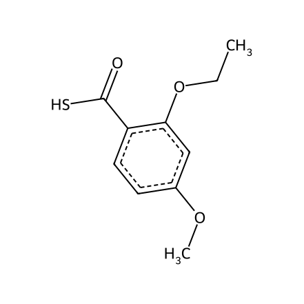 CCOc1cc(OC)ccc1C(=O)S